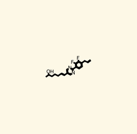 C=CCc1ccc(-c2ncc(C=CCCCC(C)O)cn2)c(F)c1F